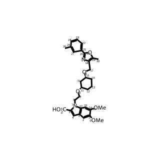 COc1cc2cc(C(=O)O)n(CCO[C@@H]3CCC[C@H](OCc4nc(-c5cccc(C)c5)oc4C)C3)c2cc1OC